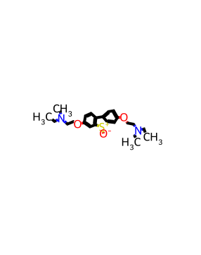 CCN(CC)CCOc1ccc2c3ccc(OCCN(CC)CC)cc3[s+]([O-])c2c1